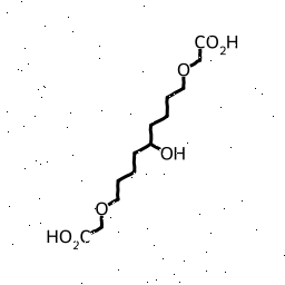 O=C(O)COCCCCC(O)CCCCOCC(=O)O